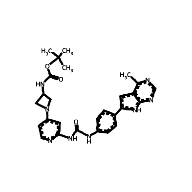 Cc1ncnc2[nH]c(-c3ccc(NC(=O)Nc4cc(N5CC(NC(=O)OC(C)(C)C)C5)ccn4)cc3)cc12